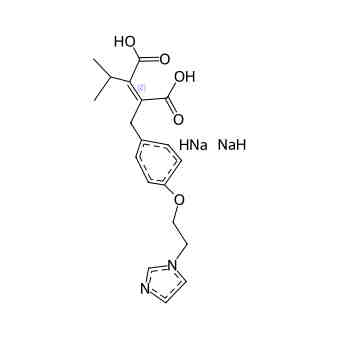 CC(C)/C(C(=O)O)=C(\Cc1ccc(OCCn2ccnc2)cc1)C(=O)O.[NaH].[NaH]